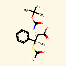 CC(=O)S[C@@](C)(c1ccccc1)[C@H](NC(=O)OC(C)(C)C)C(=O)O